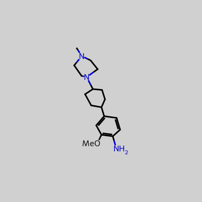 COc1cc(C2CCC(N3CCN(C)CC3)CC2)ccc1N